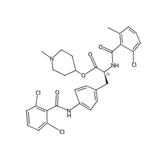 Cc1cccc(Cl)c1C(=O)N[C@@H](Cc1ccc(NC(=O)c2c(Cl)cccc2Cl)cc1)C(=O)OC1CCN(C)CC1